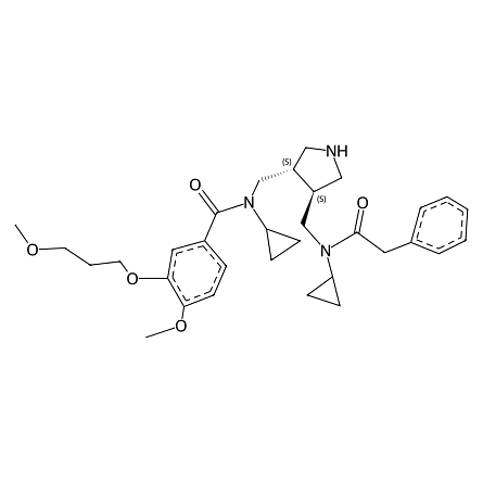 COCCCOc1cc(C(=O)N(C[C@@H]2CNC[C@H]2CN(C(=O)Cc2ccccc2)C2CC2)C2CC2)ccc1OC